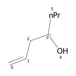 C=CC[C](O)CCC